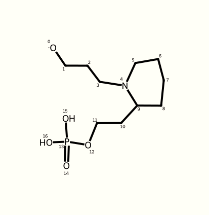 [O]CCCN1CCCCC1CCOP(=O)(O)O